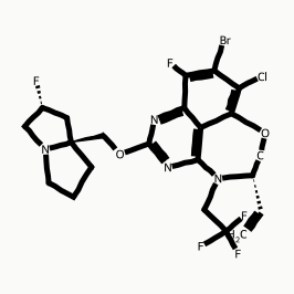 C=C[C@H]1COc2c(Cl)c(Br)c(F)c3nc(OC[C@@]45CCCN4C[C@H](F)C5)nc(c23)N1CC(F)(F)F